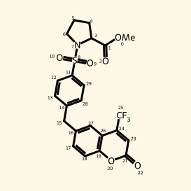 COC(=O)C1CCCN1S(=O)(=O)c1ccc(Cc2ccc3oc(=O)cc(C(F)(F)F)c3c2)cc1